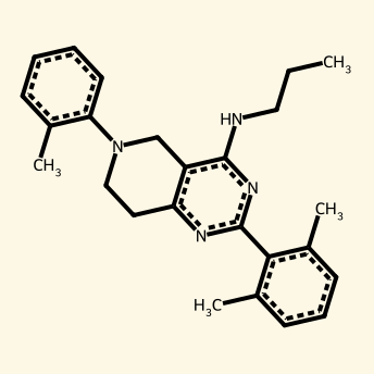 CCCNc1nc(-c2c(C)cccc2C)nc2c1CN(c1ccccc1C)CC2